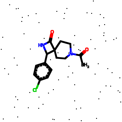 BC(=O)N1CCC2(CC1)C(=O)NC2c1ccc(Cl)cc1